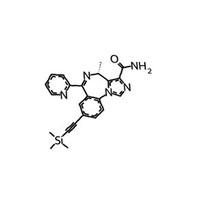 C[C@H]1N=C(c2ccccn2)c2cc(C#C[Si](C)(C)C)ccc2-n2cnc(C(N)=O)c21